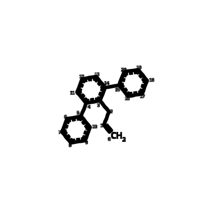 C=CCc1c(-c2ccccc2)[c]ccc1-c1ccccc1